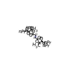 CCCN(CCC)C(=O)[C@H](C)OC(=O)/C=C/C(=O)O[C@@H](C)C(=O)N(CCC)CCC